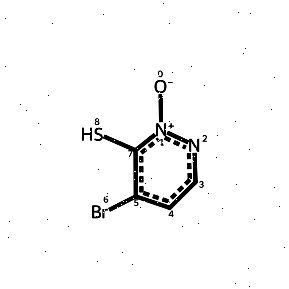 [O-][n+]1nccc(Br)c1S